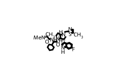 CN[C@@H](C)C(=O)N[C@H](C(=O)N1CC[C@@H]2[C@H]1[C@@H](c1c[nH]c3cc(F)ccc13)CN2Cc1ncc(C)s1)C1CCCCC1